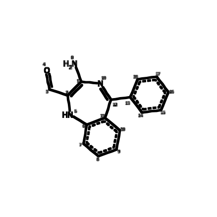 NC1=C(C=O)Nc2ccccc2C(c2ccccc2)=N1